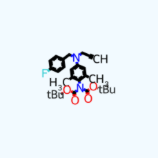 C#CCN(Cc1ccc(F)cc1)c1cc(C)c(N(C(=O)OC(C)(C)C)C(=O)OC(C)(C)C)c(C)c1